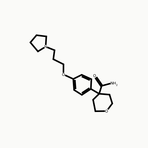 NC(=O)C1(c2ccc(OCCCN3CCCC3)cc2)CCOCC1